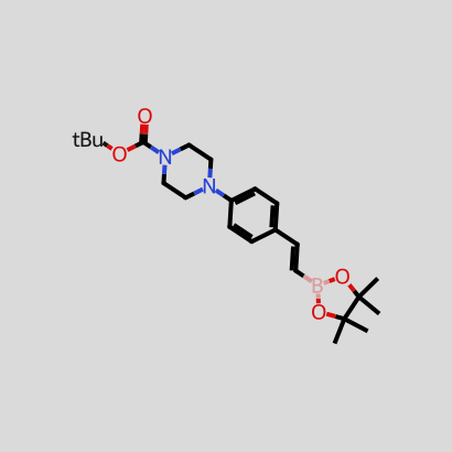 CC(C)(C)OC(=O)N1CCN(c2ccc(C=CB3OC(C)(C)C(C)(C)O3)cc2)CC1